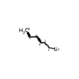 [Li][CH2]CC=CC=C